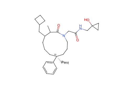 CCCC(C)[C@]1(c2ccccc2)CCCC(CC2CCC2)C(C)C(=O)N(CC(=O)NCC2(O)CC2)CCC1